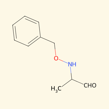 CC(C=O)NOCc1ccccc1